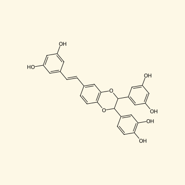 Oc1cc(O)cc(/C=C/c2ccc3c(c2)OC(c2cc(O)cc(O)c2)C(c2ccc(O)c(O)c2)O3)c1